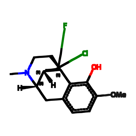 COc1ccc2c(c1O)[C@]13CCN(C)[C@H](C2)[C@@H]1CCC(F)C3Cl